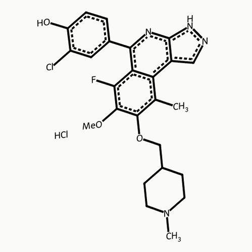 COc1c(OCC2CCN(C)CC2)c(C)c2c(c(-c3ccc(O)c(Cl)c3)nc3[nH]ncc32)c1F.Cl